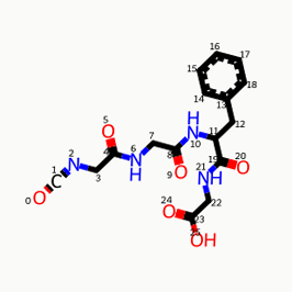 O=C=NCC(=O)NCC(=O)NC(Cc1ccccc1)C(=O)NCC(=O)O